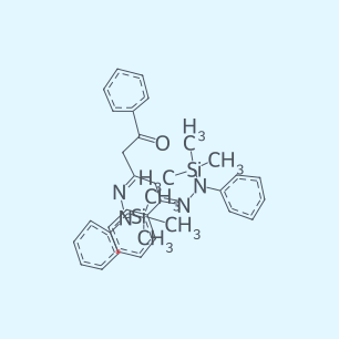 C[Si](C)(C)N(/N=C(/CC(=O)c1ccccc1)C/C(=N\N(c1ccccc1)[Si](C)(C)C)c1ccccc1)c1ccccc1